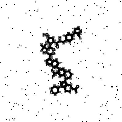 CC(=O)N1CCc2c(c(N3CCCc4cc(-c5ccn6c(C(=O)N[C@H](C(=O)N7C[C@H](O)C[C@H]7C(=O)NCc7ccc(-c8scnc8C)cc7)C(C)(C)C)cnc6n5)c(C(F)F)cc43)nn2C2CCOCC2)C1